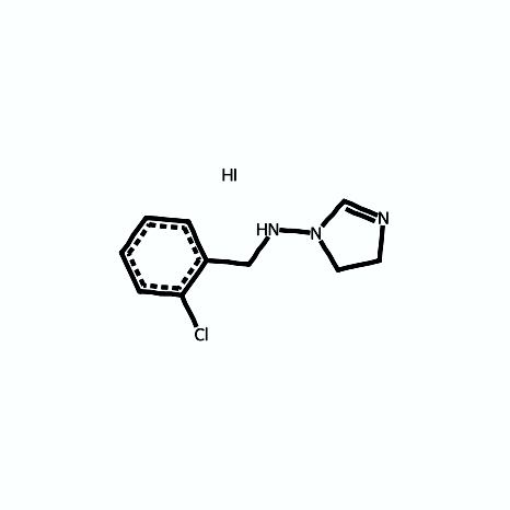 Clc1ccccc1CNN1C=NCC1.I